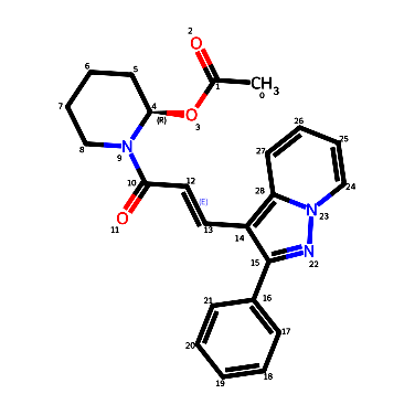 CC(=O)O[C@@H]1CCCCN1C(=O)/C=C/c1c(-c2ccccc2)nn2ccccc12